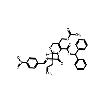 C=CC[C@]1(N=Cc2ccc([N+](=O)[O-])cc2)C(=O)N2C(C(=O)OC(c3ccccc3)c3ccccc3)=C(COC(C)=O)CS[C@@H]21